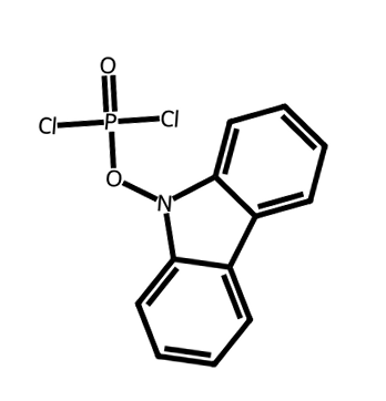 O=P(Cl)(Cl)On1c2ccccc2c2ccccc21